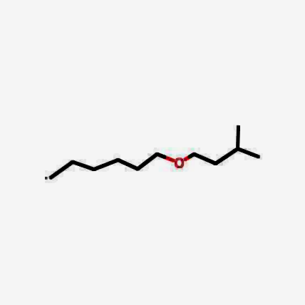 [CH2]CCCCCOCCC(C)C